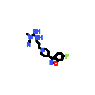 CN(C#N)C(=N)NCCCN1CCC(c2noc3cc(F)ccc23)CC1